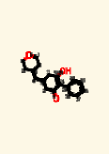 O=C1CC(CC2CCOCC2)CC(O)=C1c1ccccc1